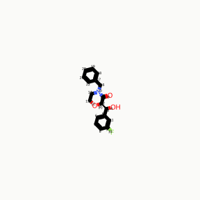 O=C1[C@@H](C(O)c2cccc(F)c2)OCCN1Cc1ccccc1